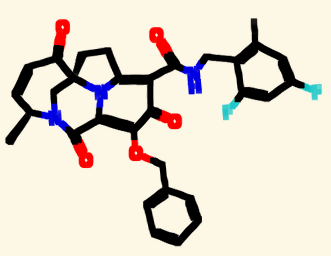 Cc1cc(F)cc(F)c1CNC(=O)c1c2n3c(c(OCc4ccccc4)c1=O)C(=O)N1C[C@]3(CC2)C(=O)C=C[C@@H]1C